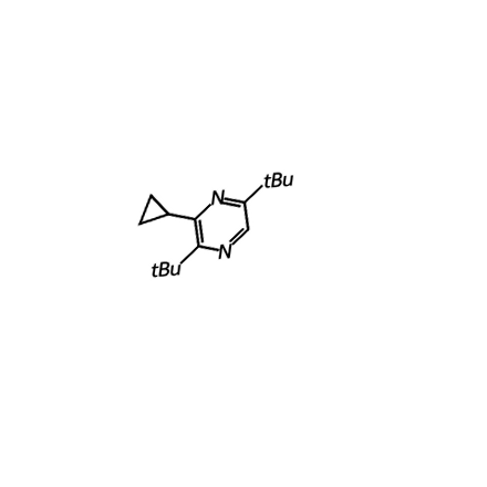 CC(C)(C)c1cnc(C(C)(C)C)c(C2CC2)n1